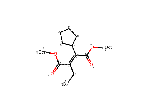 CCCCCCCCOC(=O)C(CC(C)(C)C)=C(C(=O)OCCCCCCCC)C1CCCC1